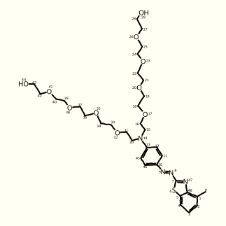 Cc1cccc2sc(/N=N/c3ccc(N(CCOCCOCCOCCOCCO)CCOCCOCCOCCOCCO)cc3)nc12